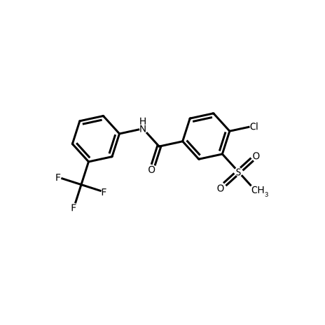 CS(=O)(=O)c1cc(C(=O)Nc2cccc(C(F)(F)F)c2)ccc1Cl